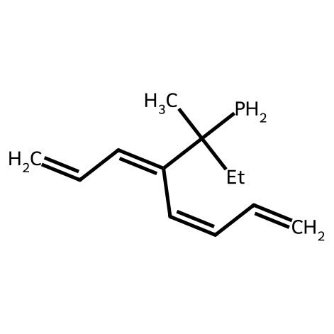 C=C/C=C\C(=C/C=C)C(C)(P)CC